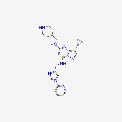 c1ccc(-n2cnc(CNc3cc(NCC4CCNCC4)nc4c(C5CC5)cnn34)c2)nc1